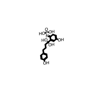 O=P(O)(O)N=C1CC=C(O)C=C1C(O)(O)CCCc1ccc(O)cc1